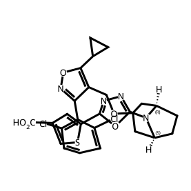 O=C(O)c1csc(-c2nnc(N3[C@@H]4CC[C@H]3CC(OCc3c(-c5c(Cl)cccc5Cl)noc3C3CC3)C4)o2)c1